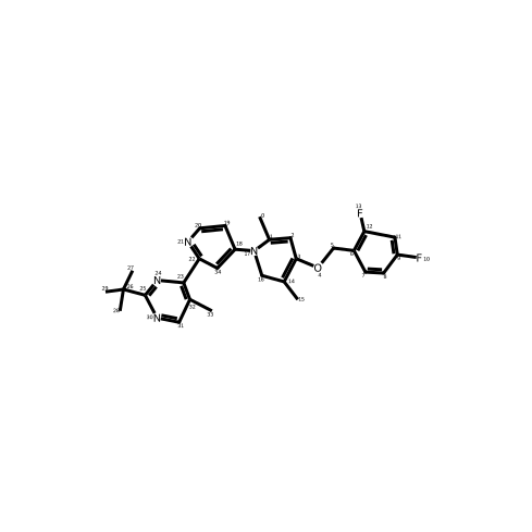 CC1=CC(OCc2ccc(F)cc2F)=C(C)CN1c1ccnc(-c2nc(C(C)(C)C)ncc2C)c1